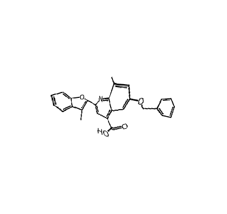 Cc1c(-c2cc(C(=O)O)c3cc(OCc4ccccc4)cc(C)c3n2)oc2ccccc12